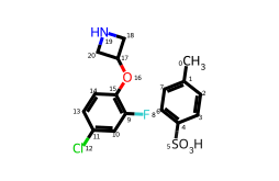 Cc1ccc(S(=O)(=O)O)cc1.Fc1cc(Cl)ccc1OC1CNC1